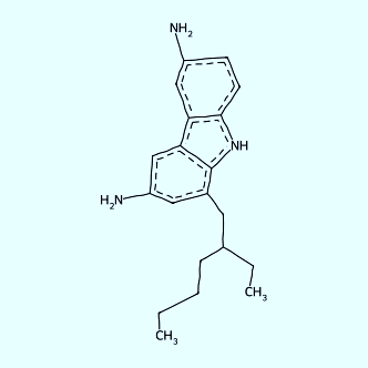 CCCCC(CC)Cc1cc(N)cc2c1[nH]c1ccc(N)cc12